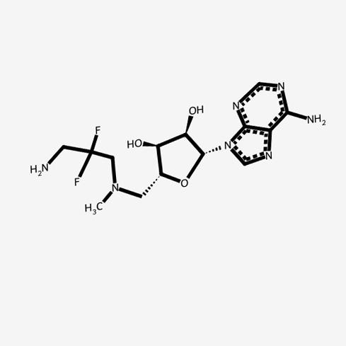 CN(C[C@H]1O[C@@H](n2cnc3c(N)ncnc32)[C@H](O)[C@@H]1O)CC(F)(F)CN